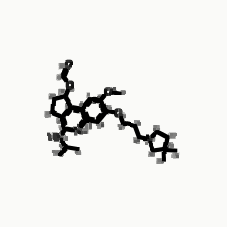 COc1cc2c3c(c(NC(C)C)nc2cc1OCCCN1CCC(C)(C)C1)CCC3OC=O